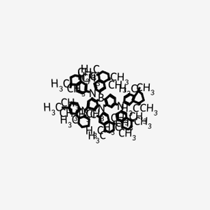 Cc1cc2c(cc1N1c3cc(N(c4ccc5c(c4)C(C)(C)CCC5(C)C)c4ccc5c(c4)C(C)(C)CCC5(C)C)ccc3B3c4cc5c(cc4N(c4ccc6c(c4)C(C)(C)CCC6(C)C)c4cc(N6c7ccc(C(C)(C)C)cc7C7(C)CCCCC67C)cc1c43)C(C)(C)CCC5(C)C)C(C)(C)CCC2(C)C